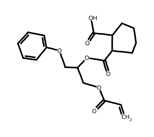 C=CC(=O)OCC(COc1ccccc1)OC(=O)C1CCCCC1C(=O)O